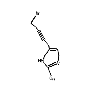 Oc1ncc(C#CCBr)[nH]1